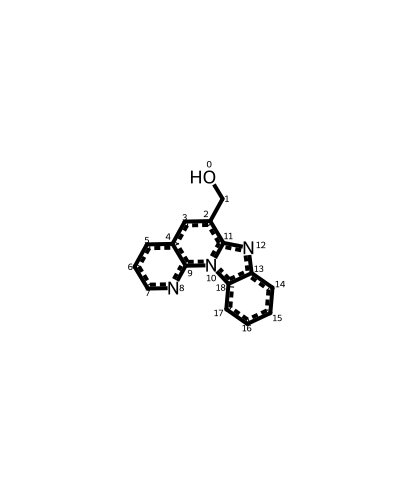 OCc1cc2cccnc2n2c1nc1ccccc12